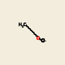 CCCCCCCCCCCCCCOCCc1cc[c]cc1